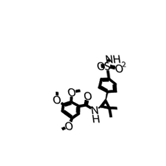 COc1cc(OC)c(OC)c(C(=O)N[C@@H]2[C@@H](c3ccc(S(N)(=O)=O)cc3)C2(C)C)c1